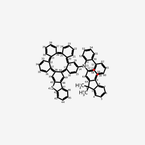 CC1(C)c2ccccc2-c2ccc(N(c3ccc4c(c3)c3ccccc3c3ccccc3c3ccccc3c3cc5sc6ccccc6c5cc43)c3ccccc3-c3ccccc3)cc21